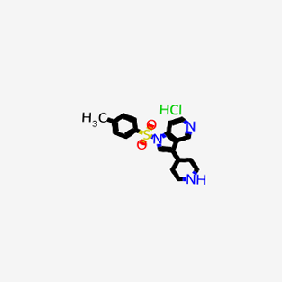 Cc1ccc(S(=O)(=O)n2cc(C3CCNCC3)c3cnccc32)cc1.Cl